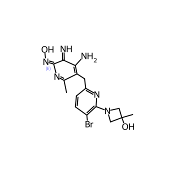 CC1=N/C(=N/O)C(=N)C(N)=C1Cc1ccc(Br)c(N2CC(C)(O)C2)n1